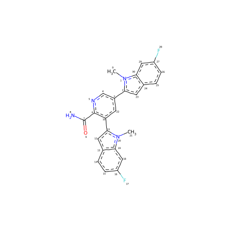 Cn1c(-c2cnc(C(N)=O)c(-c3cc4ccc(F)cc4n3C)c2)cc2ccc(F)cc21